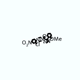 COc1ccccc1-c1ncn(C)c1C(=O)N1CCN(c2ccc([N+](=O)[O-])cc2Cl)CC1